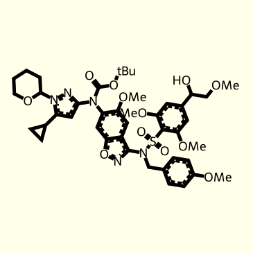 COCC(O)c1cc(OC)c(S(=O)(=O)N(Cc2ccc(OC)cc2)c2noc3cc(N(C(=O)OC(C)(C)C)c4cc(C5CC5)n(C5CCCCO5)n4)c(OC)cc23)c(OC)c1